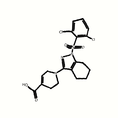 O=C(O)C1=CCN(c2nn(S(=O)(=O)c3c(Cl)cccc3Cl)c3c2CCCC3)CC1